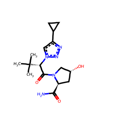 CC(C)(C)[C@@H](C(=O)N1C[C@H](O)C[C@H]1C(N)=O)n1cc(C2CC2)nn1